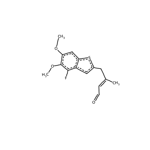 COc1cc2sc(CC(C)=CC=O)cc2c(F)c1OC